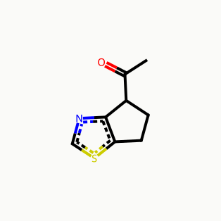 CC(=O)C1CCc2scnc21